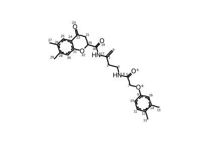 C=C(CCNC(=O)COc1ccc(C)c(C)c1)NC(=O)C1CC(=O)c2cc(C)c(C)cc2O1